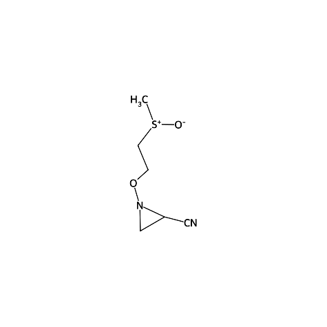 C[S+]([O-])CCON1CC1C#N